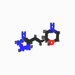 C1CO[C@H](CCc2nnn[nH]2)CN1